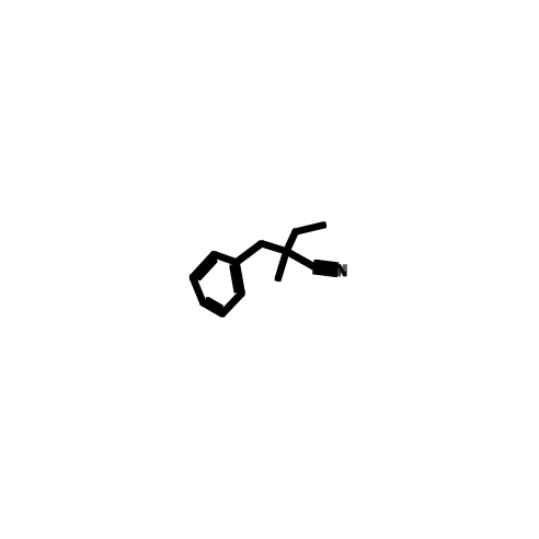 CCC(C)(C#N)Cc1ccccc1